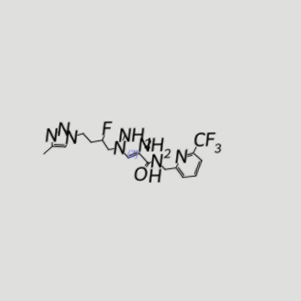 Cc1cn(CCC(F)CN(N)/C=C(\N)C(=O)NCc2cccc(C(F)(F)F)n2)nn1